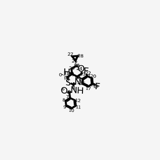 C[C@H]1SC(NC(=O)c2ccccc2)=N[C@@]2(c3ccc(F)cc3F)CO[C@@H](C3CC3)C[C@@H]12